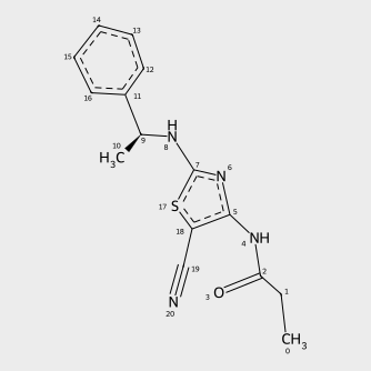 CCC(=O)Nc1nc(N[C@@H](C)c2ccccc2)sc1C#N